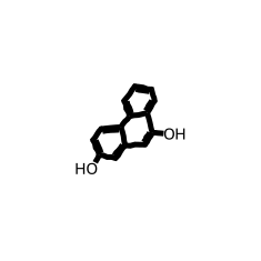 Oc1ccc2c(c1)cc(O)c1ccccc12